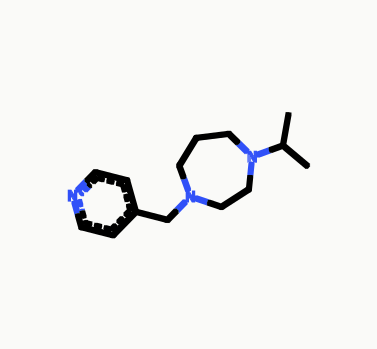 CC(C)N1CCCN(Cc2ccncc2)CC1